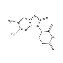 Bc1cc2oc(=O)n(C3CCC(=O)NC3=O)c2cc1C